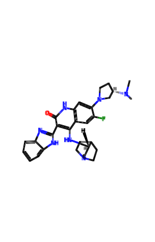 CN(C)[C@H]1CCN(c2cc3[nH]c(=O)c(-c4nc5ccccc5[nH]4)c(N[C@H]4CN5CCC4CC5)c3cc2F)C1